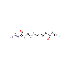 C=CC(=O)CCCCCCCCC(=O)/C=C/I